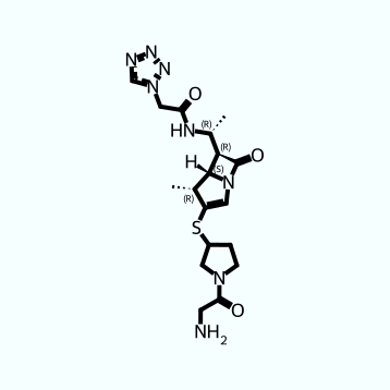 C[C@@H](NC(=O)Cn1cnnn1)[C@H]1C(=O)N2C=C(SC3CCN(C(=O)CN)C3)[C@H](C)[C@H]12